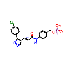 Cn1ncc(/C=C/C(=O)Nc2ccc(CO[PH](=O)O)cc2)c1-c1ccc(Cl)cc1